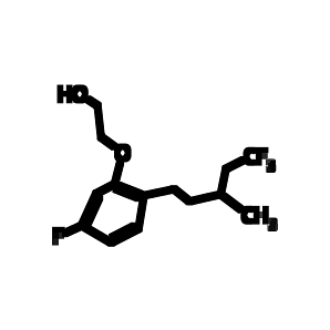 CC(CCc1ccc(F)cc1OCCO)CC(F)(F)F